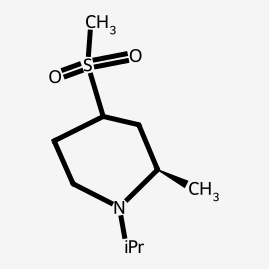 CC(C)N1CCC(S(C)(=O)=O)C[C@H]1C